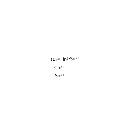 [Ga+3].[Ga+3].[In+3].[Sn+4].[Sn+7]